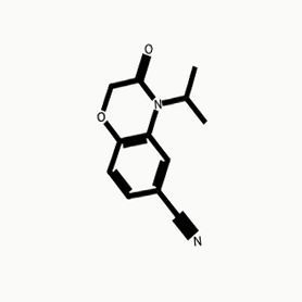 CC(C)N1C(=O)COc2ccc(C#N)cc21